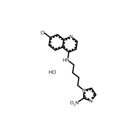 Cl.O=[N+]([O-])c1nccn1CCCCNc1ccnc2cc(Cl)ccc12